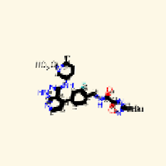 C[C@H]1CC[C@@H](Nc2n[nH]c3nccc(-c4ccc(CNC(=O)c5nc(C(C)(C)C)no5)c(F)c4)c23)CN1C(=O)O